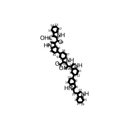 COC(=O)c1c(C(C)c2c[nH]c3ccc(-c4ccc5[nH]c(Cc6c[nH]c7ccccc67)cc5c4)cc23)[nH]c2ccc(-c3ccc4[nH]cc(C(=O)c5[nH]c6ccccc6c5C=O)c4c3)cc12